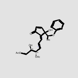 CCCC(Oc1ccccc1)C1(O)C=CC(=O)/C1=C\C=C\[C@H](OC(C)=O)[C@H](O)COC(C)=O